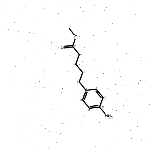 COC(=O)CCCCc1ccc(N)cc1